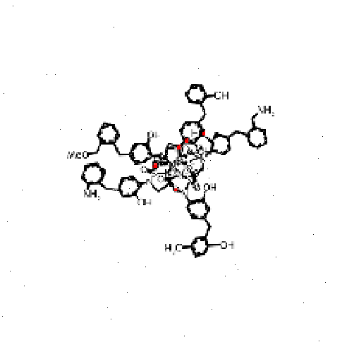 COCc1ccccc1Cc1ccc(N2CC(=O)N([N+]3([N+]4([N+]5(N6C(=O)CN(c7ccc(Cc8ccccc8N)cc7O)S6(=O)=O)C(=O)CN(c6ccc(Cc7ccccc7O)cc6O)S5(=O)=O)C(=O)CN(c5ccc(Cc6cc(C)ccc6O)cc5O)S4(=O)=O)C(=O)CN(c4ccc(Cc5ccccc5CN)cc4O)S3(=O)=O)S2(=O)=O)c(O)c1